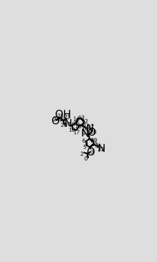 CC(C)Oc1ccc(-c2nc(-c3cccc4c3CCC4N3CC(C(=O)O)C3)no2)cc1C#N